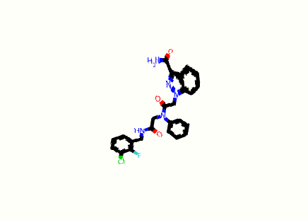 NC(=O)c1nn(CC(=O)N(CC(=O)NCc2cccc(Cl)c2F)c2ccccc2)c2ccccc12